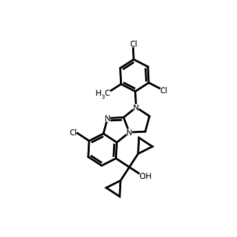 Cc1cc(Cl)cc(Cl)c1N1CCn2c1nc1c(Cl)ccc(C(O)(C3CC3)C3CC3)c12